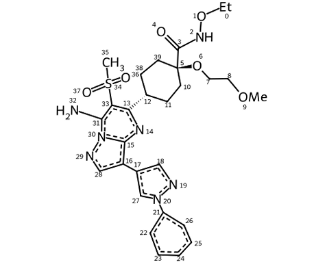 CCONC(=O)[C@]1(OCCOC)CC[C@H](c2nc3c(-c4cnn(-c5ccccc5)c4)cnn3c(N)c2S(C)(=O)=O)CC1